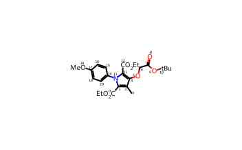 CCOC(=O)c1c(C)c(OCC(=O)OC(C)(C)C)c(C(=O)OCC)n1-c1ccc(OC)cc1